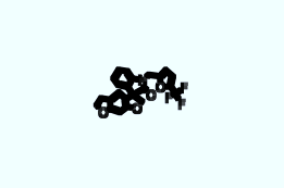 O=C1N(Cc2ccc(C(F)(F)F)o2)c2ccccc2C12COc1cc3c(cc12)CCO3